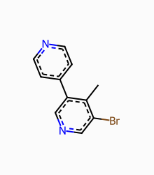 Cc1c(Br)cncc1-c1ccncc1